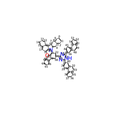 c1ccc2cc3c(cc2c1)c1c2ccccc2ccc1n3-c1cc(C2=NC(c3ccc4c(ccc5ccccc54)c3)NC(c3ccc4c(ccc5ccccc54)c3)=N2)cc2c1oc1ccccc12